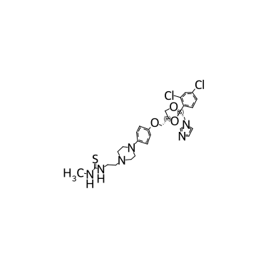 CNC(=S)NCCN1CCN(c2ccc(OC[C@@H]3CO[C@@](Cn4ccnc4)(c4ccc(Cl)cc4Cl)O3)cc2)CC1